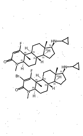 CN1C(=O)C(Br)=C(F)[C@]2(C)[C@H]3CC[C@]4(C)[C@@H](NC5CC5)CC[C@H]4[C@@H]3CC[C@@H]12.CN1C(=O)C=C(F)[C@]2(C)[C@H]3CC[C@]4(C)[C@@H](NC5CC5)CC[C@H]4[C@@H]3CC[C@@H]12